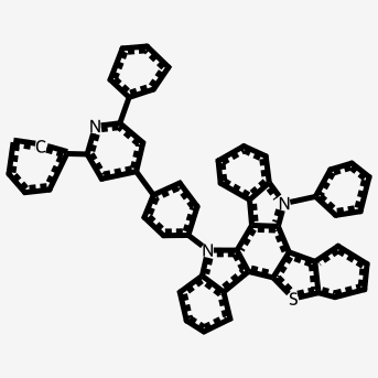 c1ccc(-c2cc(-c3ccc(-n4c5ccccc5c5c6sc7ccccc7c6c6c(c7ccccc7n6-c6ccccc6)c54)cc3)cc(-c3ccccc3)n2)cc1